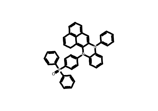 O=P(c1ccccc1)(c1ccccc1)c1ccc(N2c3ccccc3N(c3ccccc3)c3cc4cccc5c4c(c32)CC=C5)cc1